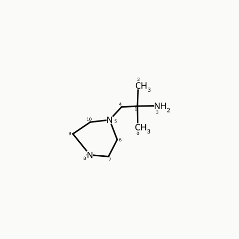 CC(C)(N)CN1CC[N]CC1